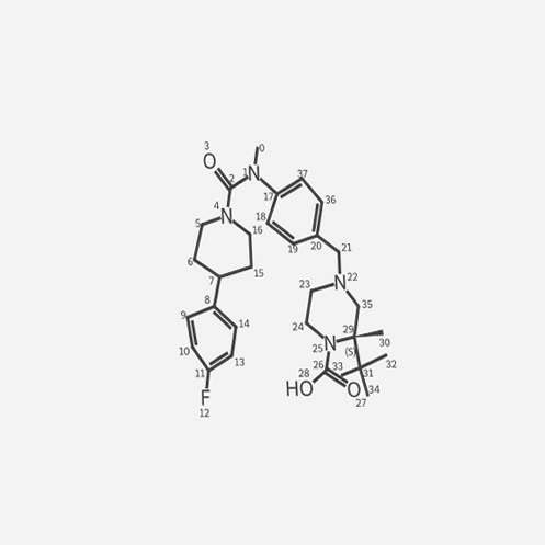 CN(C(=O)N1CCC(c2ccc(F)cc2)CC1)c1ccc(CN2CCN(C(=O)O)[C@@](C)(C(C)(C)C)C2)cc1